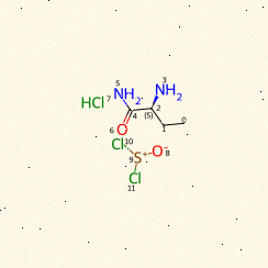 CC[C@H](N)C(N)=O.Cl.[O-][S+](Cl)Cl